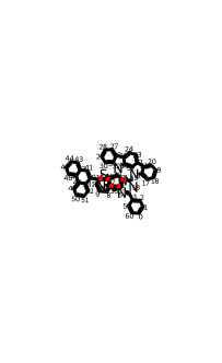 c1ccc(-c2nc(-c3ccccc3)nc(-n3c4ccccc4c4ccc5c6ccccc6n(-c6cccc7nc(-c8cc9ccccc9c9ccccc89)sc67)c5c43)n2)cc1